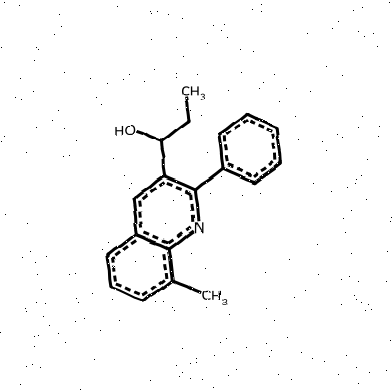 CCC(O)c1cc2cccc(C)c2nc1-c1ccccc1